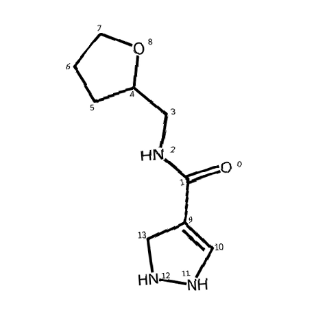 O=C(NCC1CCCO1)C1=CNNC1